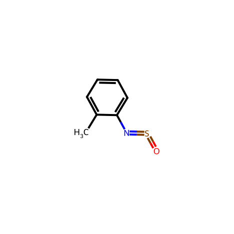 Cc1ccccc1N=S=O